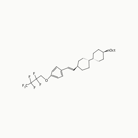 CCCCCCCC[C@H]1CC[C@H]([C@H]2CC[C@H](C=Cc3ccc(OCC(F)(F)C(F)(F)C(F)(F)F)cc3)CC2)CC1